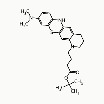 CN(C)c1ccc2c(c1)Sc1cc3c(cc1N2)CCCN3CCCC(=O)OC(C)(C)C